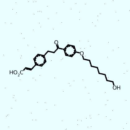 O=C(O)/C=C/c1ccc(CCC(=O)c2ccc(OCCCCCCCCO)cc2)cc1